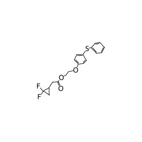 O=C(CC1CC1(F)F)OCCOc1ccc(Sc2ccccc2)cc1